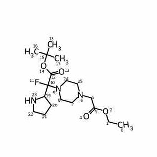 CCOC(=O)CN1CCN(C(F)(C(=O)OC(C)(C)C)C2CCCN2)CC1